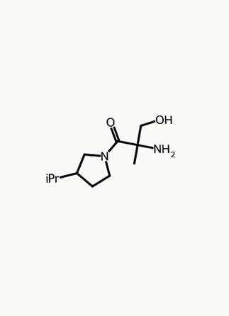 CC(C)C1CCN(C(=O)C(C)(N)CO)C1